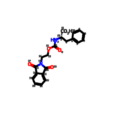 O=C(N[C@@H](Cc1ccccc1)C(=O)O)OCCN1C(=O)c2ccccc2C1=O